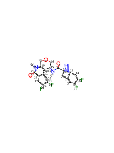 CN(C(=O)c1cc2cc(F)c(F)cc2[nH]1)[C@H]1COCc2c1c1cc(F)c(F)cc1c(=O)n2C